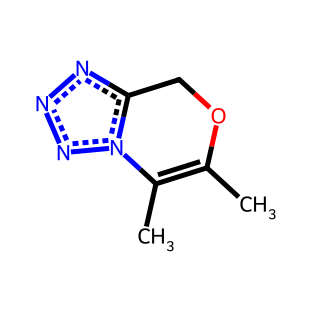 CC1=C(C)n2nnnc2CO1